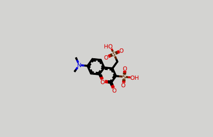 CN(C)c1ccc2c(CS(=O)(=O)O)c(S(=O)(=O)O)c(=O)oc2c1